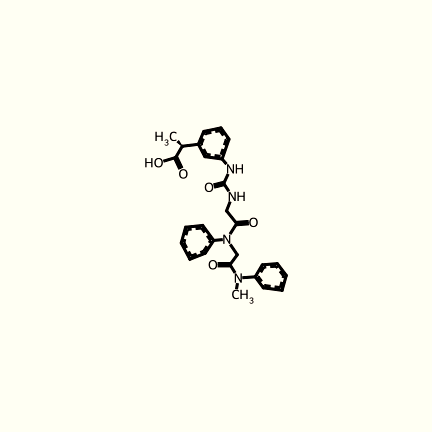 C[C@H](C(=O)O)c1cccc(NC(=O)NCC(=O)N(CC(=O)N(C)c2ccccc2)c2ccccc2)c1